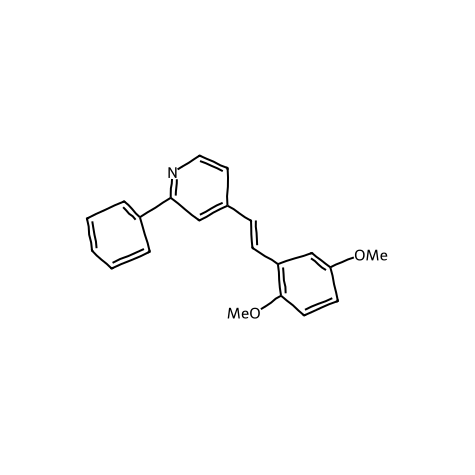 COc1ccc(OC)c(C=Cc2ccnc(-c3ccccc3)c2)c1